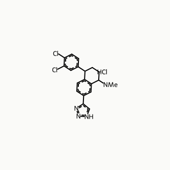 CNC1CCC(c2ccc(Cl)c(Cl)c2)c2ccc(-c3c[nH]nn3)cc21.Cl